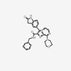 O=C1Cc2cc(-c3c(C(=O)NCc4ccccc4)nc4c(N5CCOCC5)nccn34)ccc2N1